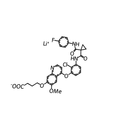 COc1cc2c(Oc3cccc(NC(=O)C4(C(=O)Nc5ccc(F)cc5)CC4)c3Cl)ccnc2cc1OCCCC(=O)[O-].[Li+]